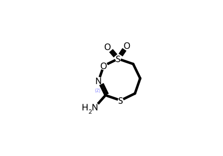 N/C1=N/OS(=O)(=O)CCCS1